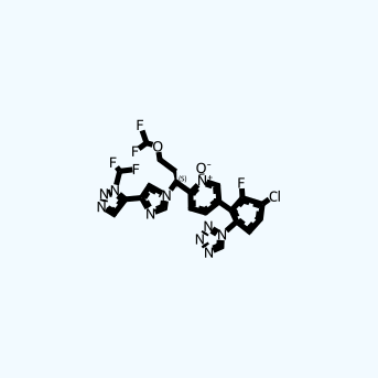 [O-][n+]1cc(-c2c(-n3cnnn3)ccc(Cl)c2F)ccc1[C@H](CCOC(F)F)n1cnc(-c2cnnn2C(F)F)c1